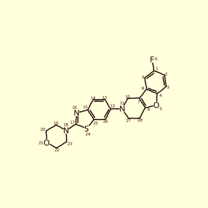 Fc1ccc2oc3c(c2c1)CN(c1ccc2nc(N4CCOCC4)sc2c1)CC3